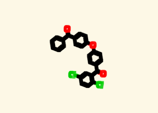 O=C(c1ccccc1)c1ccc(Oc2ccc(C(=O)c3cc(Cl)ccc3Cl)cc2)cc1